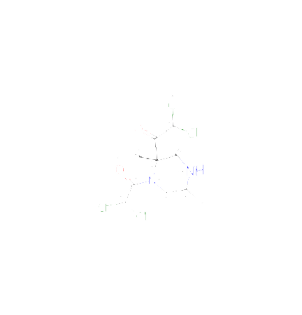 CC1CN(C(=O)C(Cl)Cl)C(C)(C(=O)C(Cl)Cl)CN1